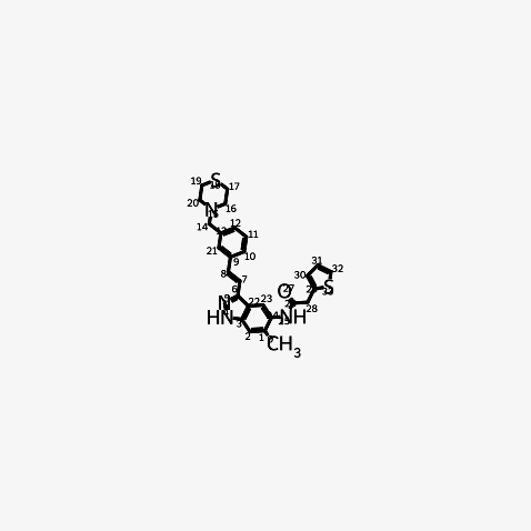 Cc1cc2[nH]nc(C=Cc3cccc(CN4CCSCC4)c3)c2cc1NC(=O)Cc1cccs1